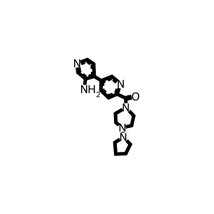 Nc1cnccc1-c1ccc(C(=O)N2CCN(N3CCCC3)CC2)nc1